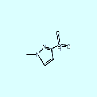 Cn1ccc([SH](=O)=O)n1